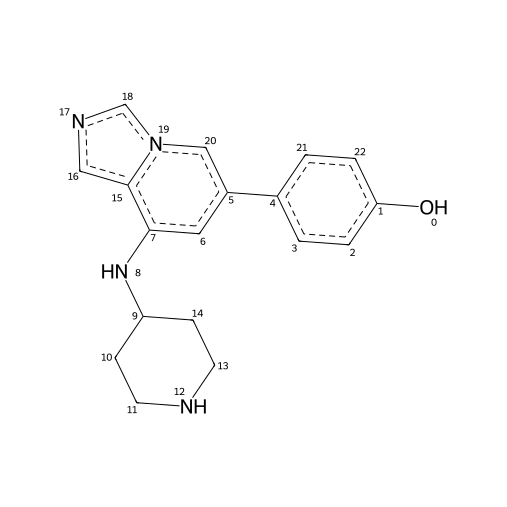 Oc1ccc(-c2cc(NC3CCNCC3)c3cncn3c2)cc1